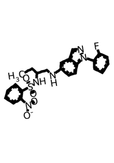 CCC(CNc1ccc2c(cnn2-c2ccccc2F)c1)NS(=O)(=O)c1ccccc1[N+](=O)[O-]